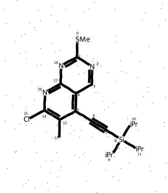 CSc1ncc2c(C#C[Si](C(C)C)(C(C)C)C(C)C)c(C)c(Cl)nc2n1